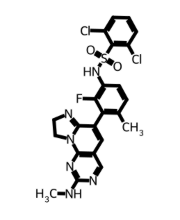 CNc1ncc2c(n1)N1CCN=C1C(c1c(C)ccc(NS(=O)(=O)c3c(Cl)cccc3Cl)c1F)=C2